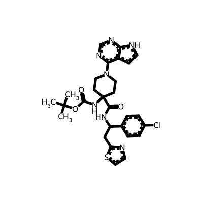 CC(C)(C)OC(=O)NC1(C(=O)NC(Cc2nccs2)c2ccc(Cl)cc2)CCN(c2ncnc3[nH]ccc23)CC1